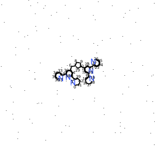 C1=NC(c2cc(CC3CCC(c4cc(C5=CCCC=N5)nc(-c5ccccn5)c4)C3)cc(-c3ccccn3)n2)=CCC1